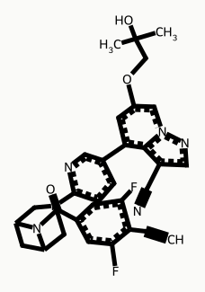 C#Cc1c(F)cc(C(=O)N2C3CC2CN(c2ccc(-c4cc(OCC(C)(C)O)cn5ncc(C#N)c45)cn2)C3)cc1F